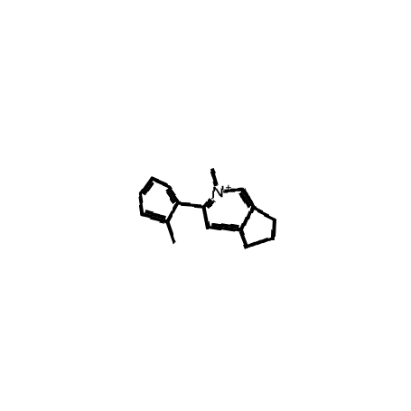 Cc1ccccc1-c1cc2c(c[n+]1C)CCC2